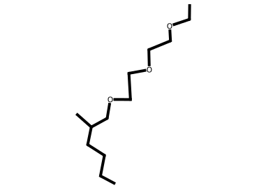 CCCCC(C)COCCOCCOCC